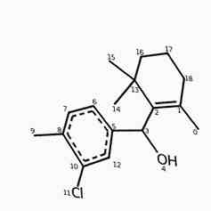 CC1=C(C(O)c2ccc(C)c(Cl)c2)C(C)(C)CCC1